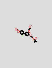 C=C(C)C(=O)OCCOc1ccc(-c2ccc(OC=O)cc2F)cc1OCCOC